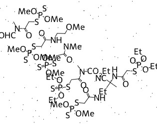 CCNC(=O)CSP(=S)(OC)OC.CCOC(=O)N(C)C(=O)CSP(=S)(OCC)OCC.CCOP(=O)(OCC)SCC(=O)NC(C)(C)C#N.CNC(=O)CSP(=S)(OC)OC.COCCNC(=O)CSP(=S)(OC)OC.COP(=S)(OC)SCC(=O)N(C)C=O